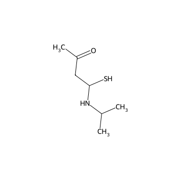 CC(=O)CC(S)NC(C)C